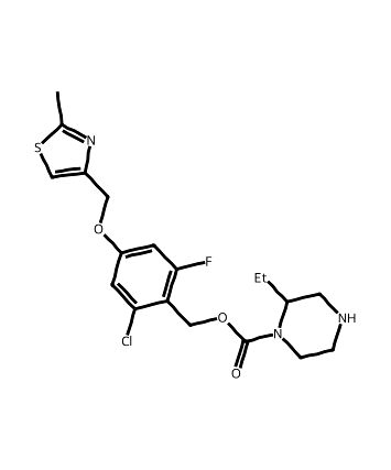 CCC1CNCCN1C(=O)OCc1c(F)cc(OCc2csc(C)n2)cc1Cl